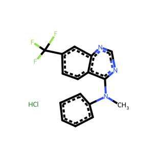 CN(c1ccccc1)c1ncnc2cc(C(F)(F)F)ccc12.Cl